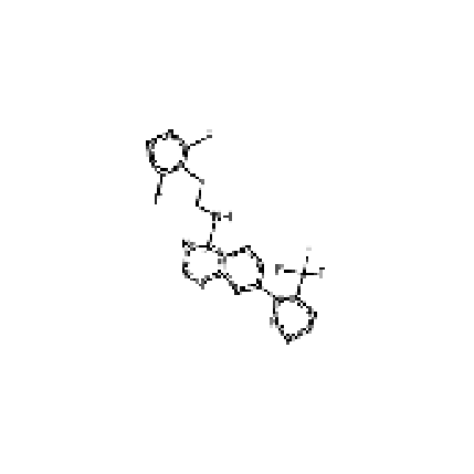 Fc1cccc(F)c1CCNc1ncnc2cc(-c3ncccc3C(F)(F)F)ccc12